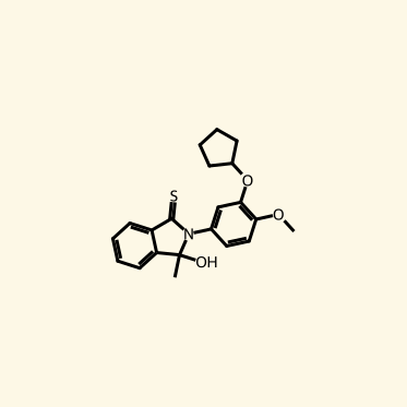 COc1ccc(N2C(=S)c3ccccc3C2(C)O)cc1OC1CCCC1